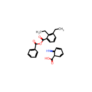 CCc1cccc(C(=O)OC(=O)c2ccccc2)c1CC.N=C1C=CC=CC1C(=O)O